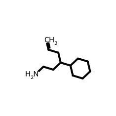 C=CCC(CCN)C1CCCCC1